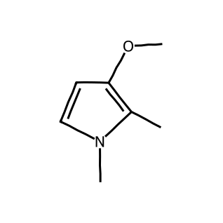 COc1ccn(C)c1C